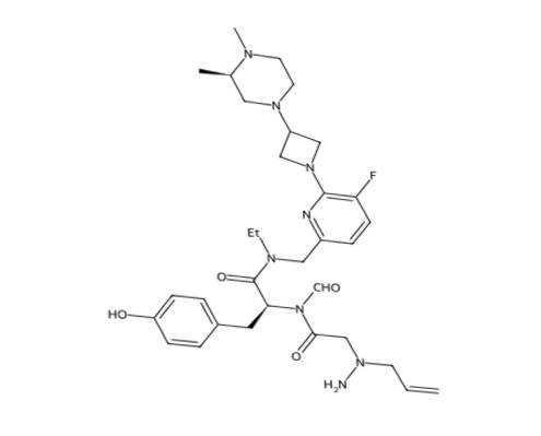 C=CCN(N)CC(=O)N(C=O)[C@@H](Cc1ccc(O)cc1)C(=O)N(CC)Cc1ccc(F)c(N2CC(N3CCN(C)[C@H](C)C3)C2)n1